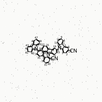 N#Cc1ccc2c(c1)c1ccccc1n2-c1ccc2c(c1)c1ccccc1n2-c1c(C#N)cccc1-c1ccc(-n2c3ccccc3c3ccccc32)cc1